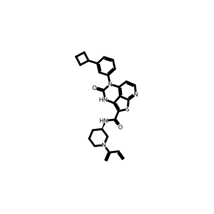 C=CC(=C)N1CCC[C@@H](NC(=O)c2sc3nccc4c3c2NC(=O)N4c2cccc(C3CCC3)c2)C1